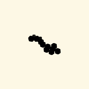 c1ccc(-c2c3ccccc3c(-c3ccc(-c4ccc5cc6c(cc5c4)oc4cc5oc7ccccc7c5cc46)c4ccccc34)c3ccccc23)cc1